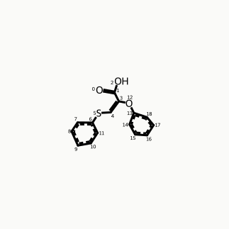 O=C(O)/C(=C\Sc1ccccc1)Oc1ccccc1